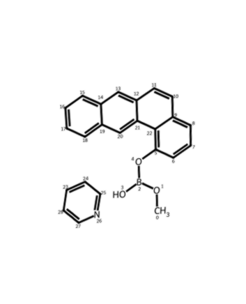 COB(O)Oc1cccc2ccc3cc4ccccc4cc3c12.c1ccncc1